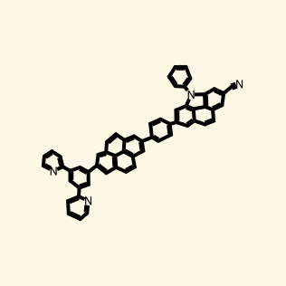 N#Cc1cc2ccc3cc(-c4ccc(-c5cc6ccc7cc(-c8cc(-c9ccccn9)cc(-c9ccccn9)c8)cc8ccc(c5)c6c78)cc4)cc4c3c2c(c1)n4-c1ccccc1